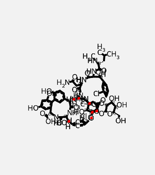 CN[C@H](CC(C)C)C(=O)NC1C(=O)N[C@@H](CC(N)=O)C(=O)N[C@H]2C(=O)N[C@H]3C(=O)N[C@H](C(=O)N[C@H](C(=O)O)c4cc(O)cc(O)c4-c4cc3ccc4O)[C@H](O)c3ccc(c(Cl)c3)Oc3cc2cc(c3OC2O[C@H](CO)[C@@H](O)[C@H](O)[C@H]2O[C@H]2C[C@](C)(N)[C@H](O)[C@H](C)O2)Oc2ccc(cc2Cl)[C@H]1O